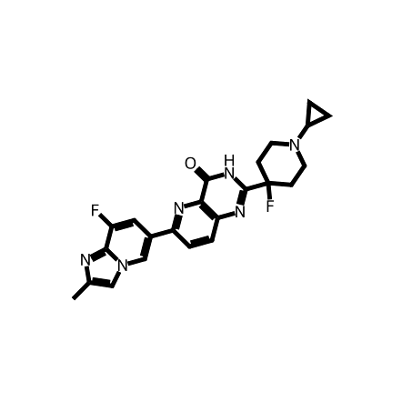 Cc1cn2cc(-c3ccc4nc(C5(F)CCN(C6CC6)CC5)[nH]c(=O)c4n3)cc(F)c2n1